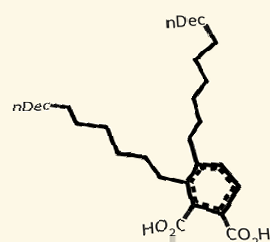 CCCCCCCCCCCCCCCCc1ccc(C(=O)O)c(C(=O)O)c1CCCCCCCCCCCCCCCC